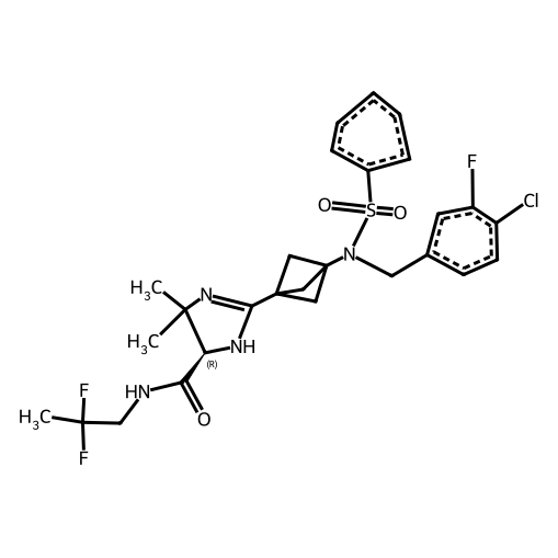 CC(F)(F)CNC(=O)[C@@H]1NC(C23CC(N(Cc4ccc(Cl)c(F)c4)S(=O)(=O)c4ccccc4)(C2)C3)=NC1(C)C